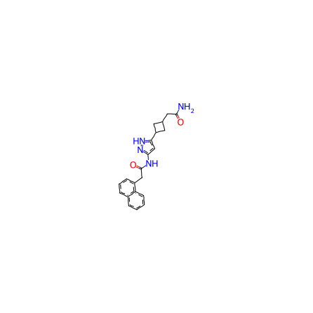 NC(=O)CC1CC(c2cc(NC(=O)Cc3cccc4ccccc34)n[nH]2)C1